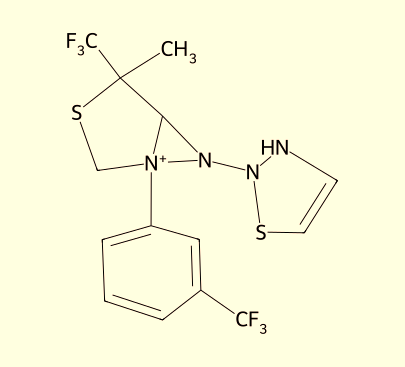 CC1(C(F)(F)F)SC[N+]2(c3cccc(C(F)(F)F)c3)C1N2N1NC=CS1